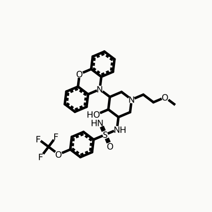 COCCN1CC(NS(=N)(=O)c2ccc(OC(F)(F)F)cc2)C(O)C(N2c3ccccc3Oc3ccccc32)C1